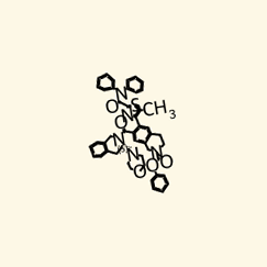 Cc1sc(C(=O)N(c2ccccc2)c2ccccc2)nc1-c1cc2c(cc1C(=O)N1Cc3ccccc3C[C@H]1CN1CCOCC1)CN(C(=O)Oc1ccccc1)CC2